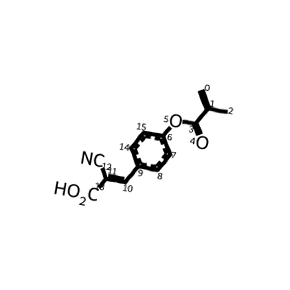 C=C(C)C(=O)Oc1ccc(/C=C(\C#N)C(=O)O)cc1